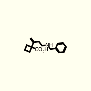 C=C(CCNCc1ccccc1)C1(C(=O)O)CCC1